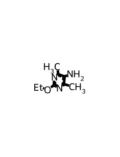 CCOc1nc(C)c(N)c(C)n1